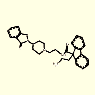 CCCC1(C(=O)NCCN2CCC(N3Cc4ccccc4C3=O)CC2)c2ccccc2-c2ccccc21